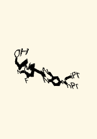 CCCN(CC(C)C)c1ccc2nc(-c3cc(F)c4nc(CO)cn4c3)ncc2c1